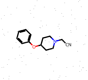 N#CCN1CCC(Oc2cc[c]cc2)CC1